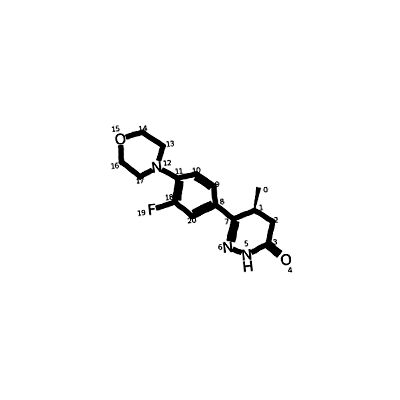 C[C@H]1CC(=O)NN=C1c1ccc(N2CCOCC2)c(F)c1